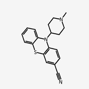 CN1CCC(N2c3ccccc3Sc3cc(C#N)ccc32)CC1